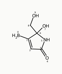 BC1=CC(=O)NC1(O)CO